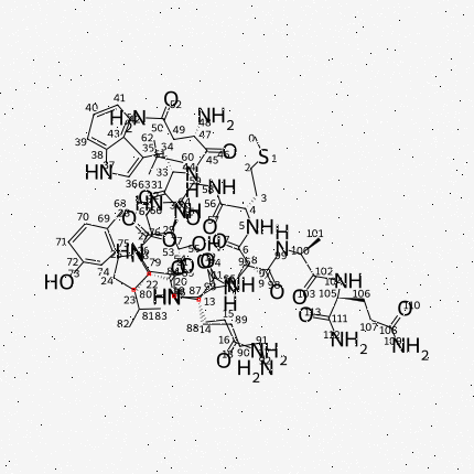 CSCC[C@H](NC(=O)[C@H](C)NC(=O)[C@H](CCC(N)=O)NC(=O)[C@@H]1CCCN1C(=O)[C@@H](NC(=O)[C@H](Cc1c[nH]c2ccccc12)NC(=O)[C@@H](N)CC(N)=O)[C@@H](C)O)C(=O)N[C@@H](CC(C)C)C(=O)N[C@@H](Cc1ccc(O)cc1)C(=O)N[C@@H](CC(C)C)C(=O)N[C@@H](CCCCN)C(=O)NCC(=O)N[C@@H](C)C(=O)N[C@@H](CCC(N)=O)C(N)=O